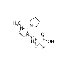 CN1C=CN(C)C1N1CCCC1.O=C(O)C(F)(F)F